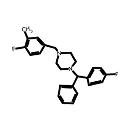 Cc1cc(CN2CCN(C(c3ccccc3)c3ccc(F)cc3)CC2)ccc1F